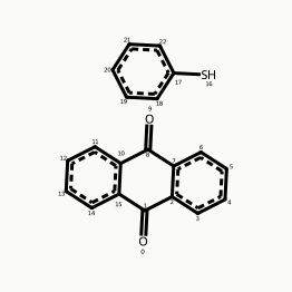 O=C1c2ccccc2C(=O)c2ccccc21.Sc1ccccc1